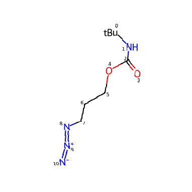 CC(C)(C)NC(=O)OCCCN=[N+]=[N-]